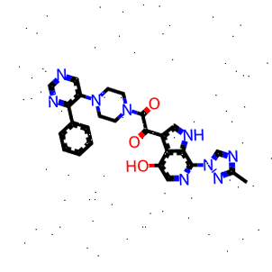 Cc1ncn(-c2ncc(O)c3c(C(=O)C(=O)N4CCN(c5cncnc5-c5ccccc5)CC4)c[nH]c23)n1